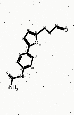 NC(=S)Nc1ccc(-c2ccc(CCC=O)o2)cc1